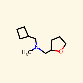 CN(CC1CCC1)CC1CCCO1